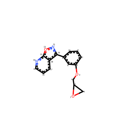 c1cc(OCC2CO2)cc(-c2noc3ncccc23)c1